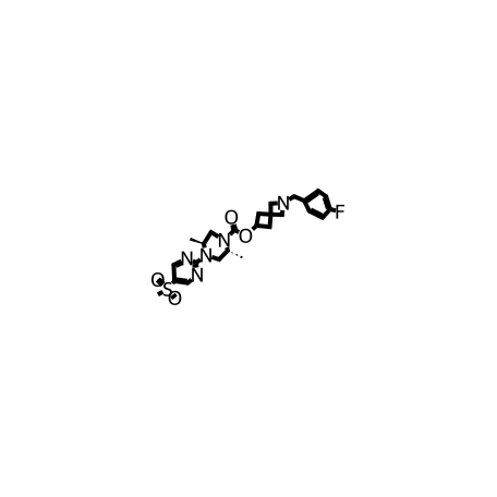 C[C@@H]1CN(c2ncc(S(C)(=O)=O)cn2)[C@@H](C)CN1C(=O)OC1CC2(C1)CN(Cc1ccc(F)cc1)C2